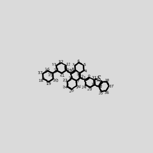 C1=C(C2=C3CCCCC3=C(C3=CCCC(C4CCCCC4)C3)C3CCCCC23)CCc2c1sc1c2CCCC1